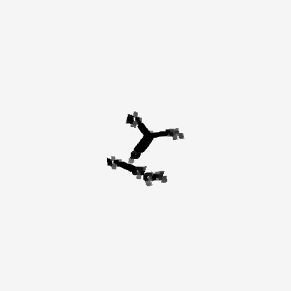 N#CN.NC(N)=O.[CaH2]